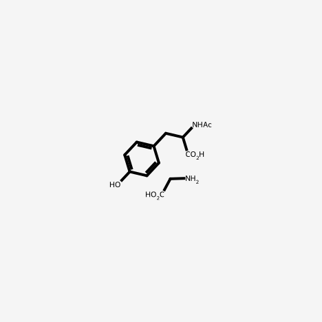 CC(=O)NC(Cc1ccc(O)cc1)C(=O)O.NCC(=O)O